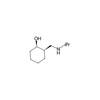 CC(C)NC[C@H]1CCCC[C@H]1O